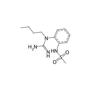 CCCCN(C(=N)N)c1ccccc1NS(C)(=O)=O